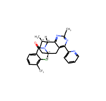 Cc1nc(-c2ccccn2)c2c(n1)[C@H]1[C@H](C)CC[C@@H](C2)N1C(=O)c1cccc(C(F)(F)F)c1Cl